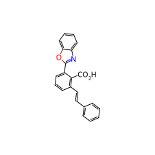 O=C(O)c1c(C=Cc2ccccc2)cccc1-c1nc2ccccc2o1